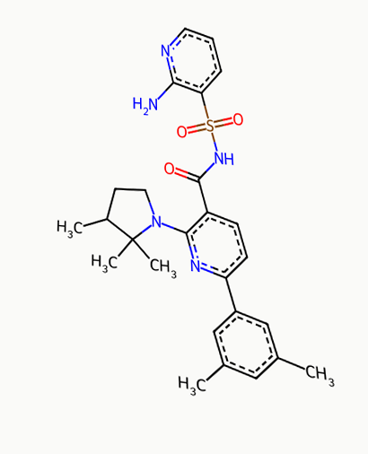 Cc1cc(C)cc(-c2ccc(C(=O)NS(=O)(=O)c3cccnc3N)c(N3CCC(C)C3(C)C)n2)c1